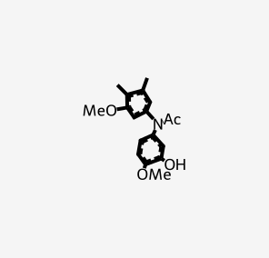 COc1ccc(N(C(C)=O)c2cc(C)c(C)c(OC)c2)cc1O